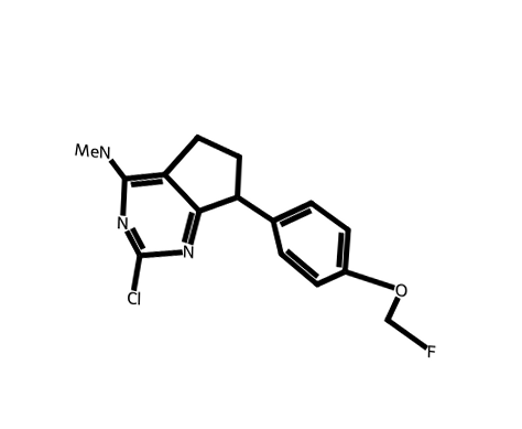 CNc1nc(Cl)nc2c1CCC2c1ccc(OCF)cc1